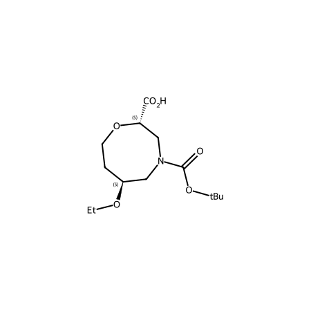 CCO[C@H]1CCO[C@H](C(=O)O)CN(C(=O)OC(C)(C)C)C1